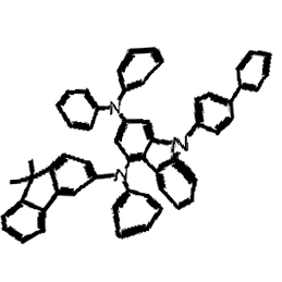 CC1(C)c2ccccc2-c2cc(N(c3ccccc3)c3cc(N(c4ccccc4)c4ccccc4)cc4c3c3ccccc3n4-c3ccc(-c4ccccc4)cc3)ccc21